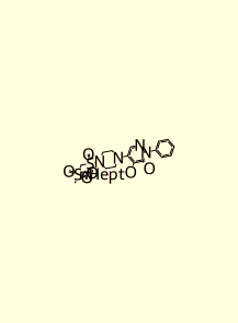 CCCCCCCOc1c(N2CCN(S(=O)(=O)CS(C)(=O)=O)CC2)cnn(-c2ccccc2)c1=O